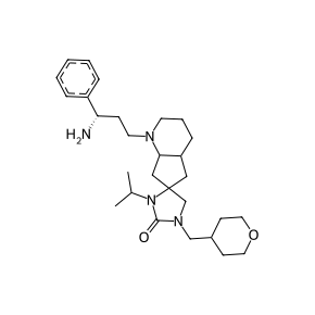 CC(C)N1C(=O)N(CC2CCOCC2)CC12CC1CCCN(CC[C@H](N)c3ccccc3)C1C2